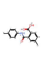 Cc1ccc(NC(=O)c2cc(C)ccc2C(=O)O)cc1